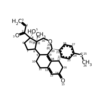 C=CC(=O)[C@]1(O)CCC2C3CCC4=CC(=O)CCC4=C3[C@@H](c3ccc(SC)cc3)OC[C@@]21C